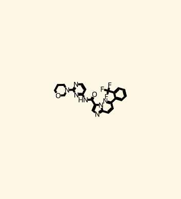 O=C(Nc1ccnc(N2CCCOC2)n1)c1cnc2ccc(-c3ccccc3C(F)(F)F)nn12